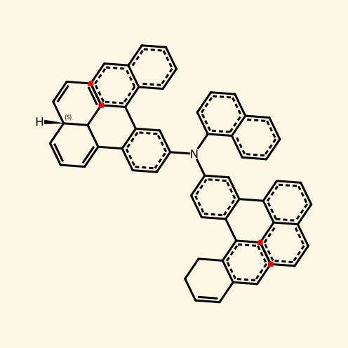 C1=CC2C(c3ccc(N(c4ccc(-c5cccc6c5CCC=C6)c(-c5cccc6ccccc56)c4)c4cccc5ccccc45)cc3-c3cccc4ccccc34)=CC=C[C@@H]2C=C1